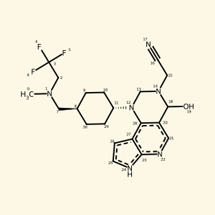 CN(CC(F)(F)F)C[C@H]1CC[C@H](N2CN(CC#N)C(O)c3cnc4[nH]ccc4c32)CC1